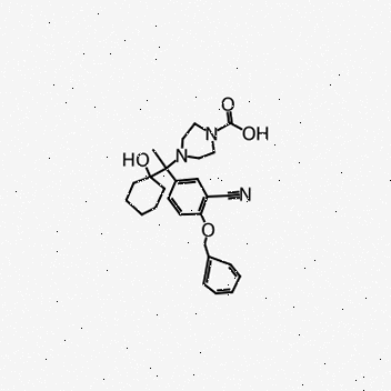 CC(c1ccc(OCc2ccccc2)c(C#N)c1)(N1CCN(C(=O)O)CC1)C1(O)CCCCC1